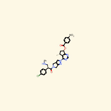 CC(C)NC[C@@H](C(=O)N1Cc2cn(-c3ncnc4c3[C@H](C)C[C@H]4OC(=O)c3ccc([N+](=O)[O-])cc3)nc2C1)c1ccc(Cl)cc1